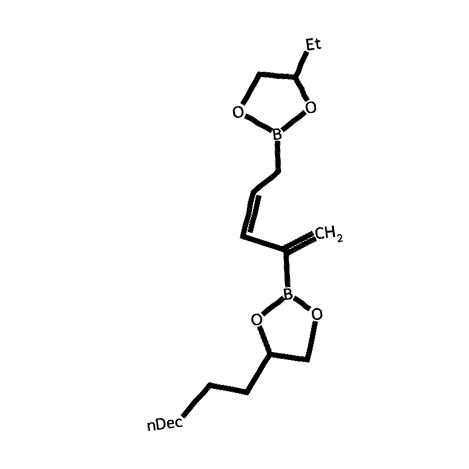 C=C(/C=C\CB1OCC(CC)O1)B1OCC(CCCCCCCCCCCC)O1